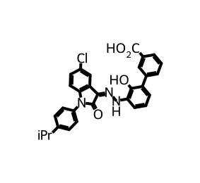 CC(C)c1ccc(N2C(=O)/C(=N\Nc3cccc(-c4cccc(C(=O)O)c4)c3O)c3cc(Cl)ccc32)cc1